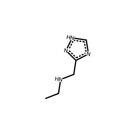 CCNCc1nc[nH]n1